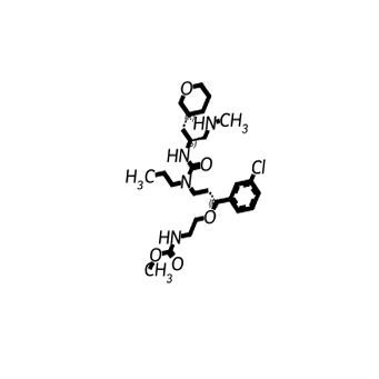 CCCN(CC[C@@H](OCCNC(=O)OC)c1cccc(Cl)c1)C(=O)N[C@H](CNC)C[C@H]1CCCOC1